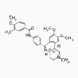 COc1ccc(C(=O)Nc2ccc(C3=N[C@@H]4CCN(C)C[C@@H]4c4cc(OC)c(OC)cc43)cc2)cc1C